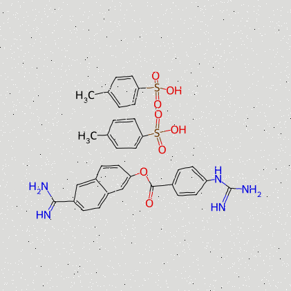 Cc1ccc(S(=O)(=O)O)cc1.Cc1ccc(S(=O)(=O)O)cc1.N=C(N)Nc1ccc(C(=O)Oc2ccc3cc(C(=N)N)ccc3c2)cc1